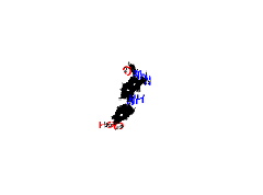 CC(=O)Nc1cc2c(cc1C#N)C(Nc1ccc(C(=O)O)cc1)CC2